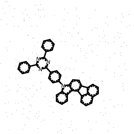 c1ccc(-c2nc(-c3ccccc3)nc(-c3ccc(-n4c5ccccc5c5c6c(ccc54)-c4cccc5cccc-6c45)cc3)n2)cc1